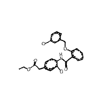 CCOC(=O)Cc1ccc(NC(=O)c2ccccc2OCc2cccc(Cl)c2)c(Cl)c1